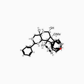 CO[C@@]1(c2cccnc2)[C@@H](S)O[C@@]2(Cl)COC(c3ccccc3)O[C@@H]2C1(N=[N+]=[N-])c1cccnc1